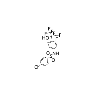 O=S(=O)(Nc1ccc(C(O)(C(F)(F)F)C(F)(F)F)cc1)c1ccc(Cl)cc1